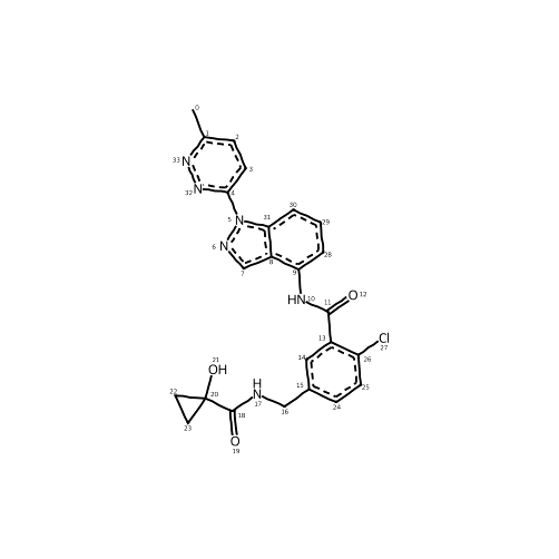 Cc1ccc(-n2ncc3c(NC(=O)c4cc(CNC(=O)C5(O)CC5)ccc4Cl)cccc32)nn1